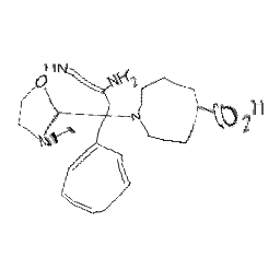 N=C(N)C(c1ccccc1)(C1NCCO1)N1CCC(C(=O)O)CC1